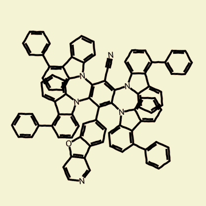 N#Cc1c(-n2c3ccccc3c3c(-c4ccccc4)cccc32)c(-n2c3ccccc3c3c(-c4ccccc4)cccc32)c(-c2ccc3c(c2)oc2ccncc23)c(-n2c3ccccc3c3c(-c4ccccc4)cccc32)c1-n1c2ccccc2c2c(-c3ccccc3)cccc21